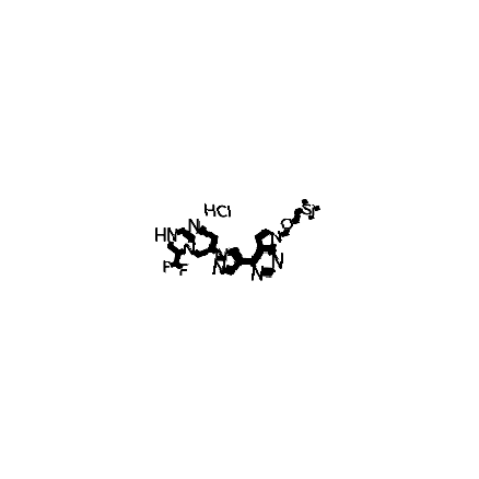 C[Si](C)(C)CCOCn1ccc2c(-c3cnn(C(CC#N)CN4CCNCC4C(F)F)c3)ncnc21.Cl